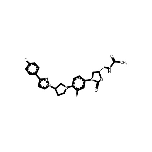 CC(=O)NC[C@H]1CN(c2ccc(N3CCC(n4ccc(-c5ccc(F)cc5)n4)C3)c(F)c2)C(=O)O1